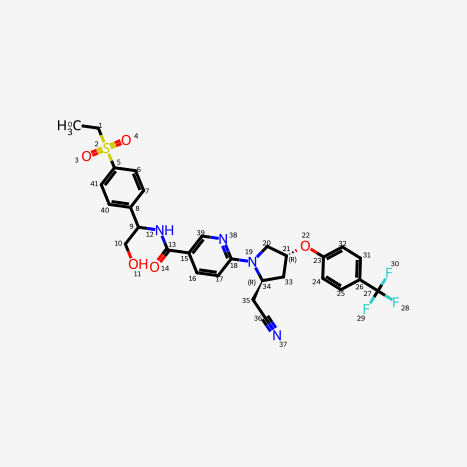 CCS(=O)(=O)c1ccc(C(CO)NC(=O)c2ccc(N3C[C@H](Oc4ccc(C(F)(F)F)cc4)C[C@H]3CC#N)nc2)cc1